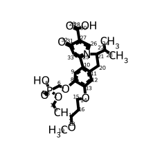 CCOP(=O)(O)COc1cc2c(cc1OCCCOC)CC(C(C)C)n1cc(C(=O)O)c(=O)cc1-2